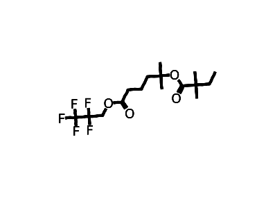 CCC(C)(C)C(=O)OC(C)(C)CCCC(=O)OCC(F)(F)C(F)(F)F